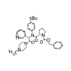 CN1CCN(C(=O)C(c2cccnc2)N(C(=O)[C@H]2CCCN2C(=O)OCc2ccccc2)c2ccc(C(C)(C)C)cc2)CC1